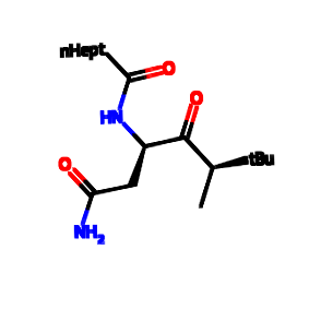 CCCCCCCC(=O)N[C@H](CC(N)=O)C(=O)[C@H](C)C(C)(C)C